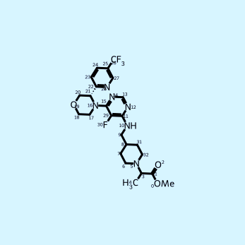 COC(=O)C(C)N1CCC(CNc2ncnc(N3CCOC[C@@H]3c3ccc(C(F)(F)F)cn3)c2F)CC1